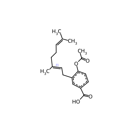 CC(=O)Oc1ccc(C(=O)O)cc1C/C=C(\C)CCC=C(C)C